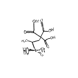 CC(C(C(=O)O)(C(=O)O)C(=O)O)P(=O)(O)O